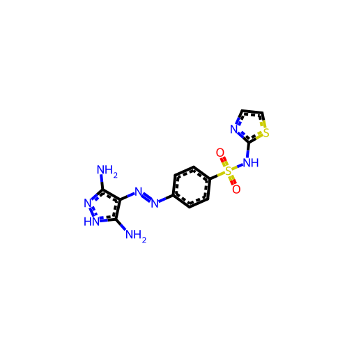 Nc1n[nH]c(N)c1N=Nc1ccc(S(=O)(=O)Nc2nccs2)cc1